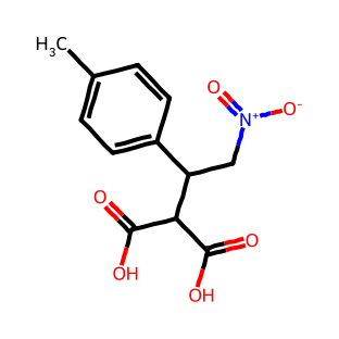 Cc1ccc(C(C[N+](=O)[O-])C(C(=O)O)C(=O)O)cc1